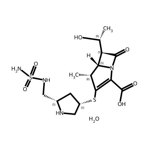 C[C@@H](O)[C@H]1C(=O)N2C(C(=O)O)=C(S[C@@H]3CN[C@H](CNS(N)(=O)=O)C3)[C@H](C)[C@H]12.O